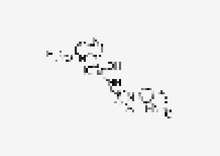 COc1ccc2nccc([C@H](O)[C@@H](O)CNC[C@H]3CN(c4ccc5c(c4)NC(=O)CS5)C(=O)O3)c2n1